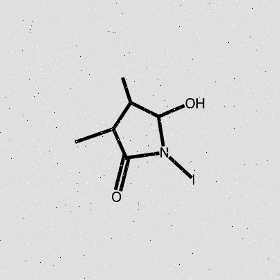 CC1C(=O)N(I)C(O)C1C